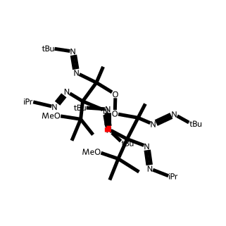 COC(C)(C)C(N=NC(C)C)(N=NC(C)(C)C)C(C)(N=NC(C)(C)C)OOC(C)(N=NC(C)(C)C)C(N=NC(C)C)(N=NC(C)(C)C)C(C)(C)OC